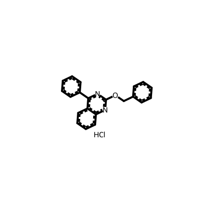 Cl.c1ccc(COc2nc(-c3ccccc3)c3ccccc3n2)cc1